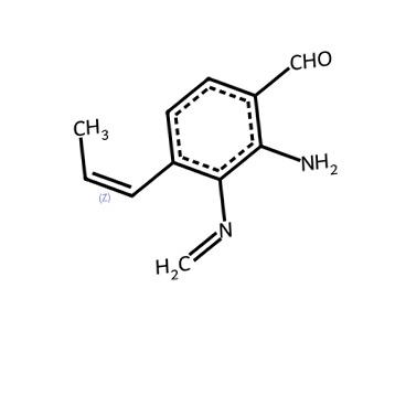 C=Nc1c(/C=C\C)ccc(C=O)c1N